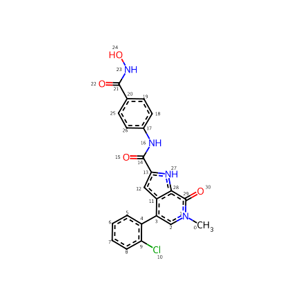 Cn1cc(-c2ccccc2Cl)c2cc(C(=O)Nc3ccc(C(=O)NO)cc3)[nH]c2c1=O